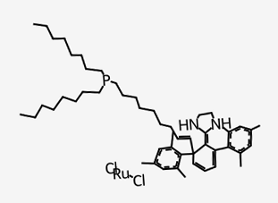 CCCCCCCCP(CCCCCCCC)CCCCCCCC=CC1(c2c(C)cc(C)cc2C)C=CC=C(c2c(C)cc(C)cc2C)C1=C1NCCN1.[Cl][Ru][Cl]